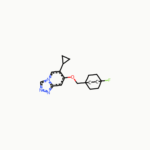 FC12CCC(COc3cc4nncn4cc3C3CC3)(CC1)CC2